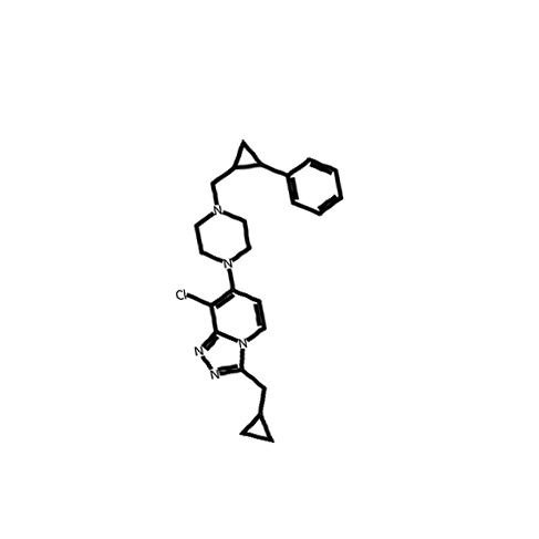 Clc1c(N2CCN(CC3CC3c3ccccc3)CC2)ccn2c(CC3CC3)nnc12